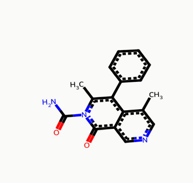 Cc1cncc2c(=O)n(C(N)=O)c(C)c(-c3ccccc3)c12